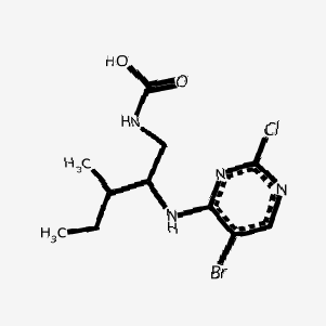 CCC(C)C(CNC(=O)O)Nc1nc(Cl)ncc1Br